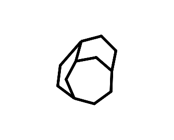 C1CC2CCC3CCC1CC3C2